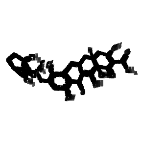 CN(Cc1cc(O)c2c(c1Cl)CC1C[C@H]3CC(O)=C(C(N)=O)C(=O)[C@@]3(O)C(O)=C1C2=O)[C@H]1CC2CCC1(C)C2(C)C